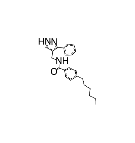 CCCCCCc1ccc(C(=O)NCc2c[nH]nc2-c2ccccc2)cc1